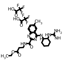 CCOC(=O)CCNC(=O)c1nc(NC2CCCCC2NC(=N)N)c2cc(C)ccc2n1.O=C(O)C(F)(F)F.O=C(O)C(F)(F)F